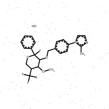 COC1C(C(F)(F)F)COC(F)(c2ccccc2)C1OCc1ccc(-n2ccnc2C)cc1.Cl